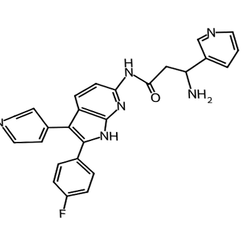 NC(CC(=O)Nc1ccc2c(-c3ccncc3)c(-c3ccc(F)cc3)[nH]c2n1)c1cccnc1